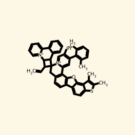 C=CC1C2C(c3ccccc3-c3cccc[n+]32)C12Cc1ccc3c(oc4c3ccc3sc(C)c(C)c34)c1-c1cc(-c3c(C)cccc3C)c(C(C)C)c[n+]12